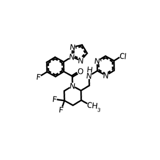 CC1CC(F)(F)CN(C(=O)c2cc(F)ccc2-n2nccn2)C1CNc1ncc(Cl)cn1